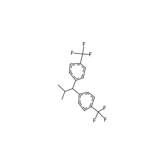 CC(C)C(c1ccc(C(F)(F)F)cc1)c1ccc(C(F)(F)F)cc1